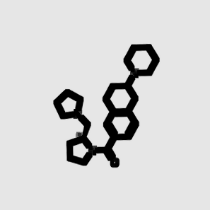 O=C(c1ccc2c(c1)CCC(N1CCCCC1)C2)N1CCC[C@H]1CN1CCCC1